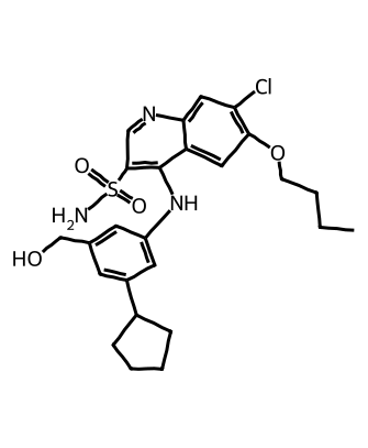 CCCCOc1cc2c(Nc3cc(CO)cc(C4CCCC4)c3)c(S(N)(=O)=O)cnc2cc1Cl